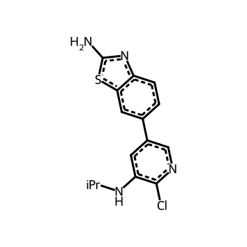 CC(C)Nc1cc(-c2ccc3nc(N)sc3c2)cnc1Cl